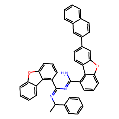 CC(/N=C(\N=C(/N)c1cccc2oc3cc(-c4ccc5ccccc5c4)ccc3c12)c1cccc2oc3ccccc3c12)c1ccccc1